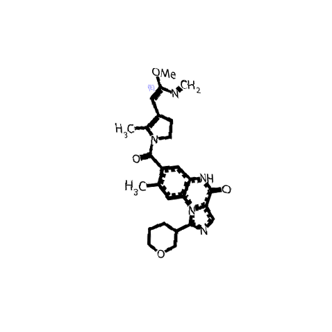 C=N/C(=C\C1=C(C)N(C(=O)c2cc3[nH]c(=O)c4cnc(C5CCCOC5)n4c3cc2C)CC1)OC